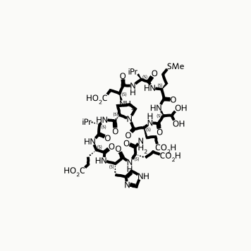 CSCC[C@H](NC(=O)[C@@H](NC(=O)[C@@H](N)CC(=O)O)C(C)C)C(=O)N[C@H](C(=O)N[C@@H](CCC(=O)O)C(=O)N1CCC[C@H]1C(=O)N[C@H](C(=O)N[C@@H](CCC(=O)O)C(=O)N[C@@H](Cc1c[nH]cn1)C(=O)N[C@@H](CCC(=O)O)C(N)=O)C(C)C)C(O)O